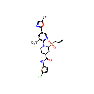 C=CCS(=O)(=O)C1CC(C(=O)Nc2ccc(Cl)s2)CCN1c1ncc(-c2ncc(CC)o2)cc1[N+](=O)[O-]